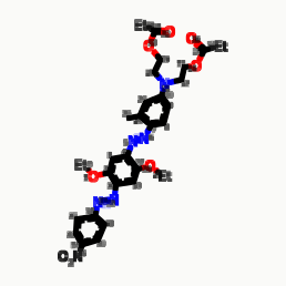 CCOc1cc(/N=N/c2ccc(N(CCOC(=O)CC)CCOC(=O)CC)cc2C)c(OCC)cc1/N=N/c1ccc([N+](=O)[O-])cc1